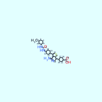 Cc1cccc(NC(=O)Nc2ccc(-c3csc4c(-c5ccc(C(=O)O)cc5)cnc(N)c34)cc2)c1